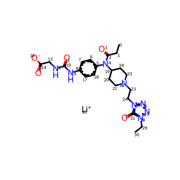 CCC(=O)N(c1ccc(NC(=O)NCC(=O)[O-])cc1)C1CCN(CCn2nnn(CC)c2=O)CC1.[Li+]